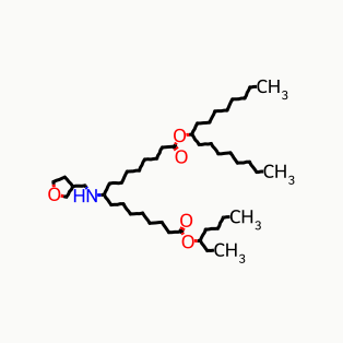 CCCCCCCCC(CCCCCCCC)OC(=O)CCCCCCCC(CCCCCCCC(=O)OC(CC)CCCC)NCC1CCOC1